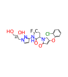 O=C(Nc1ccn(C[C@@H](O)CO)n1)C(CC(F)(F)F)N1CC(Oc2ccccc2Cl)=CC1=O